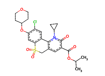 CC(C)OC(=O)c1cc2c(n(C3CC3)c1=O)-c1cc(Cl)c(OC3CCOCC3)cc1S(=O)(=O)C2